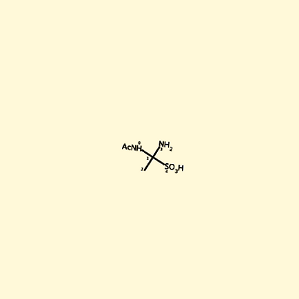 CC(=O)NC(C)(N)S(=O)(=O)O